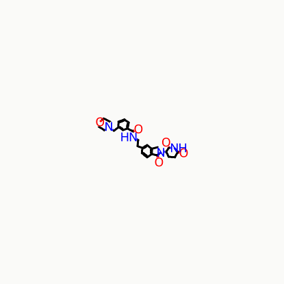 O=C1CCC(N2Cc3cc(CCNC(=O)c4cccc(CN5CCOCC5)c4)ccc3C2=O)C(=O)N1